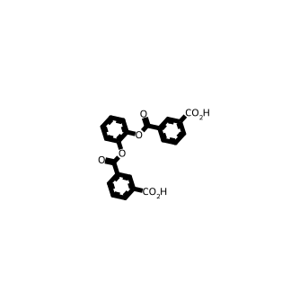 O=C(O)c1cccc(C(=O)Oc2ccccc2OC(=O)c2cccc(C(=O)O)c2)c1